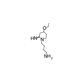 CCOC1CCN(CCCCN)C(=N)C1